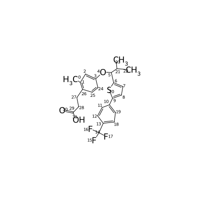 Cc1cc(OC(c2ccc(-c3ccc(C(F)(F)F)cc3)s2)C(C)C)ccc1CCC(=O)O